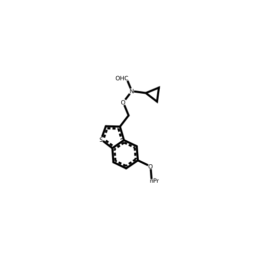 CCCOc1ccc2scc(CON(C=O)C3CC3)c2c1